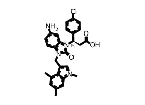 Cc1cc(C)c2c(Cn3c(=O)n([C@H](CC(=O)O)c4ccc(Cl)cc4)c4cc(N)ccc43)cn(C)c2c1